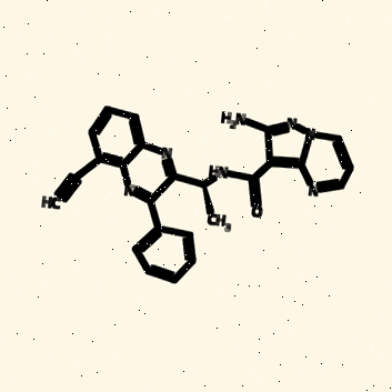 C#Cc1cccc2nc([C@H](C)NC(=O)c3c(N)nn4cccnc34)c(-c3ccccc3)nc12